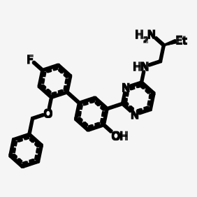 CC[C@H](N)CNc1ccnc(-c2cc(-c3ccc(F)cc3OCc3ccccc3)ccc2O)n1